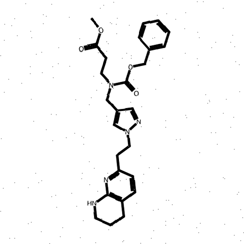 COC(=O)CCN(Cc1cnn(CCc2ccc3c(n2)NCCC3)c1)C(=O)OCc1ccccc1